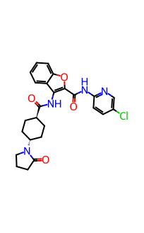 O=C(Nc1ccc(Cl)cn1)c1oc2ccccc2c1NC(=O)[C@H]1CC[C@H](N2CCCC2=O)CC1